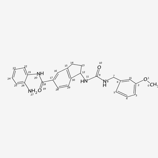 COc1cccc(CNC(=O)NC2CCc3cc(C(=O)Nc4ccccc4N)ccc32)c1